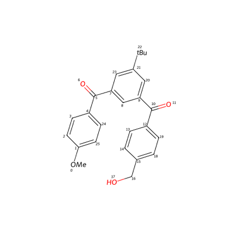 COc1ccc(C(=O)c2cc(C(=O)c3ccc(CO)cc3)cc(C(C)(C)C)c2)cc1